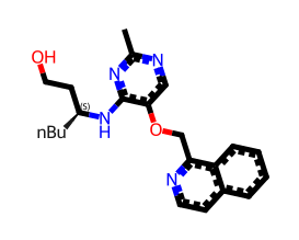 CCCC[C@@H](CCO)Nc1nc(C)ncc1OCc1nccc2ccccc12